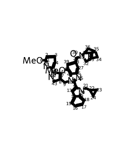 COc1cccc(-n2cc(Cn3c(-c4cc5ccccc5n4CC4CC4)nc4cc(C(=O)N5CC6CC7CC5[C@H]76)cc(OC)c43)cn2)n1